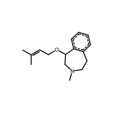 CC(C)=CCOC1CN(C)CCc2ccccc21